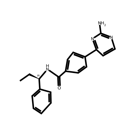 CC[C@@H](NC(=O)c1ccc(-c2ccnc(N)n2)cc1)c1ccccc1